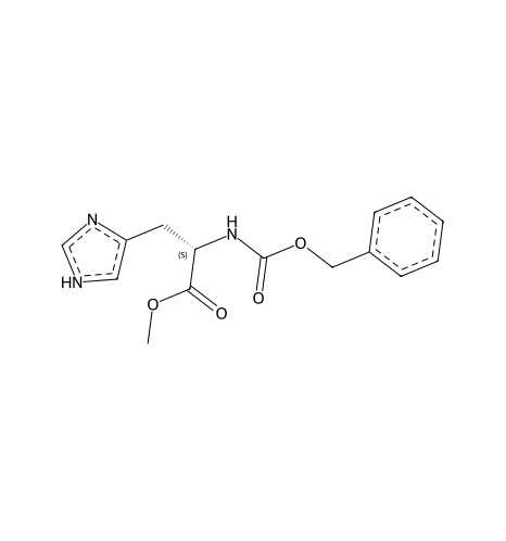 COC(=O)[C@H](Cc1c[nH]cn1)NC(=O)OCc1ccccc1